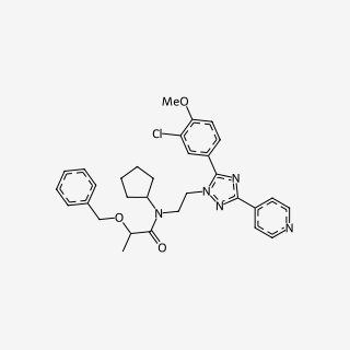 COc1ccc(-c2nc(-c3ccncc3)nn2CCN(C(=O)C(C)OCc2ccccc2)C2CCCC2)cc1Cl